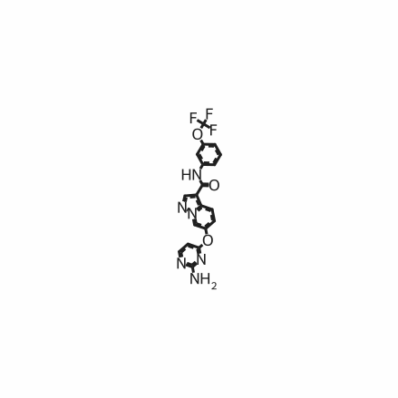 Nc1nccc(Oc2ccc3c(C(=O)Nc4cccc(OC(F)(F)F)c4)cnn3c2)n1